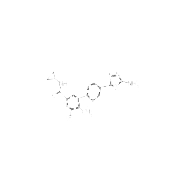 Cc1c(F)cc(C(=O)NC2CC2)cc1-c1ccc(-c2nnc(N)o2)cc1